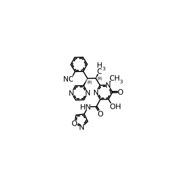 C[C@@H](c1nc(C(=O)Nc2cnoc2)c(O)c(=O)n1C)[C@@H](c1cnccn1)c1ccccc1C#N